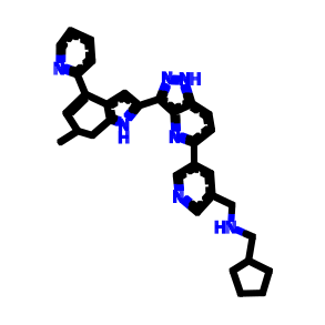 CC1C=C(c2ccccn2)c2cc(-c3n[nH]c4ccc(-c5cncc(CNCC6CCCC6)c5)nc34)[nH]c2C1